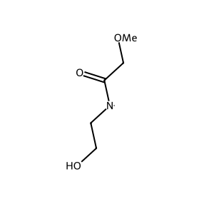 COCC(=O)[N]CCO